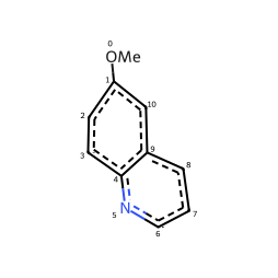 COc1ccc2n[c]ccc2c1